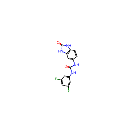 O=C(Nc1cc(F)cc(F)c1)Nc1ccc2[nH]c(=O)[nH]c2c1